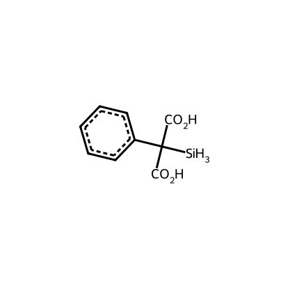 O=C(O)C([SiH3])(C(=O)O)c1ccccc1